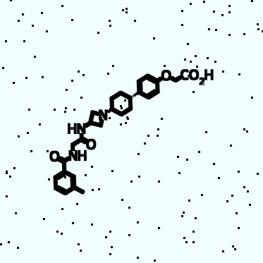 Cc1cccc(C(=O)NCC(=O)NC2CN([C@H]3CC[C@@H](c4ccc(OCC(=O)O)cc4)CC3)C2)c1